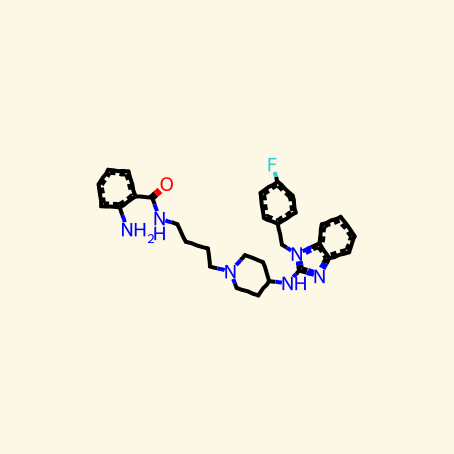 Nc1ccccc1C(=O)NCCCCN1CCC(Nc2nc3ccccc3n2Cc2ccc(F)cc2)CC1